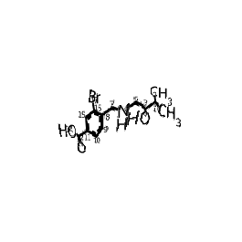 CC(C)[C@@H](O)CNCc1ccc(C(=O)O)cc1Br